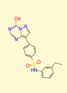 CCc1cccc(NS(=O)(=O)c2ccc(-c3cnn4c(O)ncnc34)cc2)c1